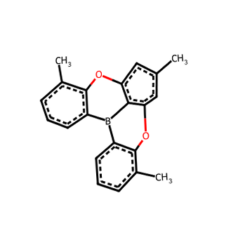 Cc1cc2c3c(c1)Oc1c(C)cccc1B3c1cccc(C)c1O2